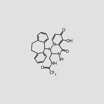 CC(C)N1C(=O)c2c(O)c(=O)ccn2N(C2c3ccccc3CCc3ccccc32)C1CNC(=O)C(F)(F)F